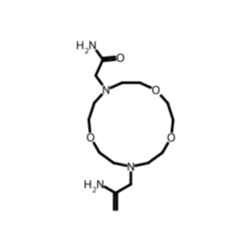 C=C(N)CN1CCOCCOCCN(CC(N)=O)CCOCC1